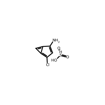 Nc1cc(Cl)c2cc1-2.O=[SH](=O)O